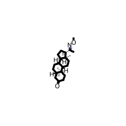 CO/N=C(\C)[C@H]1CC[C@H]2[C@@H]3CC[C@H]4CC(=O)CC[C@]4(C)[C@H]3CC[C@]12C